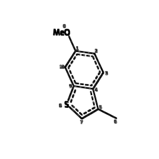 COc1ccc2c(C)csc2c1